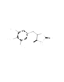 Cc1cc(CC2SC(=O)NC2=O)cc(C)c1O